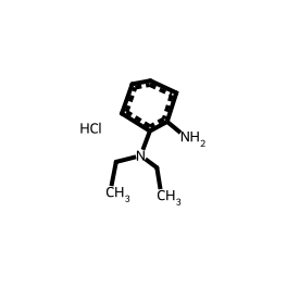 CCN(CC)c1ccccc1N.Cl